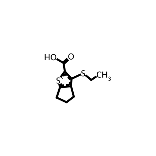 CCSc1c(C(=O)O)sc2c1CCC2